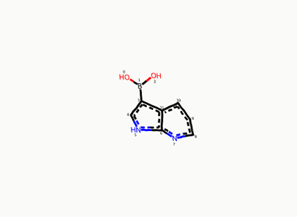 OB(O)c1c[nH]c2ncccc12